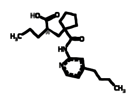 CCCCc1ccnc(NC(=O)C2(C[C@@H](CCC)C(=O)O)CCCC2)c1